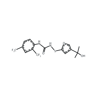 CC(C)(O)c1coc(SNC(=O)Nc2ccc(C(F)(F)F)cc2C(F)(F)F)c1